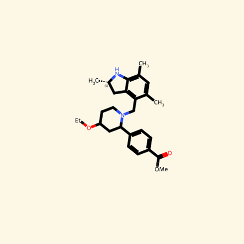 CCOC1CCN(Cc2c(C)cc(C)c3c2C[C@H](C)N3)C(c2ccc(C(=O)OC)cc2)C1